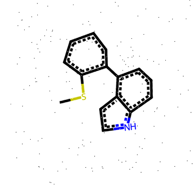 CSc1ccccc1-c1cccc2[nH]ccc12